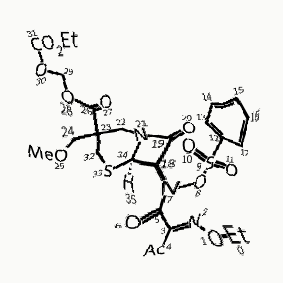 CCON=C(C(C)=O)C(=O)N(OS(=O)(=O)c1ccccc1)C1C(=O)N2CC(COC)(C(=O)OCOC(=O)OCC)CS[C@H]12